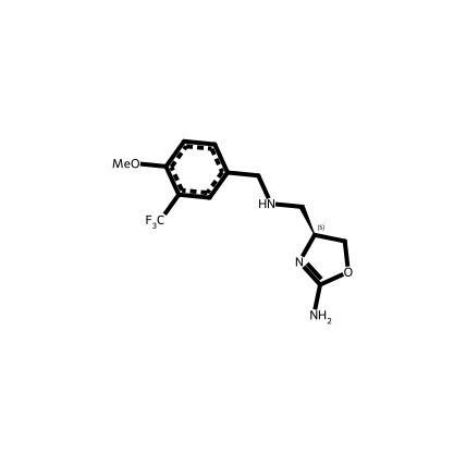 COc1ccc(CNC[C@H]2COC(N)=N2)cc1C(F)(F)F